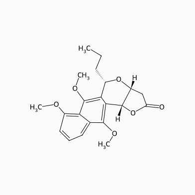 CCC[C@@H]1O[C@@H]2CC(=O)O[C@@H]2c2c1c(OC)c1c(OC)cccc1c2OC